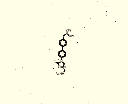 CCCN(CCC)Cc1ccc(-c2ccc(N3C[C@@H](CNC(C)=O)OC3=O)cc2)cc1